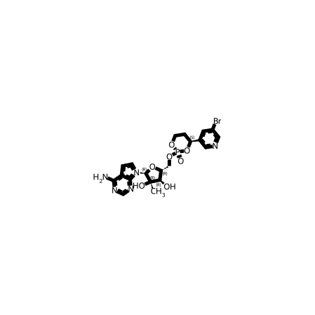 C[C@@]1(O)[C@H](O)[C@@H](COP2(=O)OCC[C@@H](c3cncc(Br)c3)O2)O[C@H]1n1ccc2c(N)ncnc21